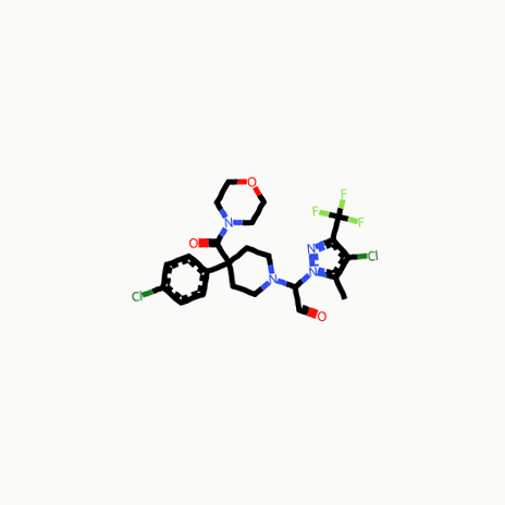 Cc1c(Cl)c(C(F)(F)F)nn1C(C=O)N1CCC(C(=O)N2CCOCC2)(c2ccc(Cl)cc2)CC1